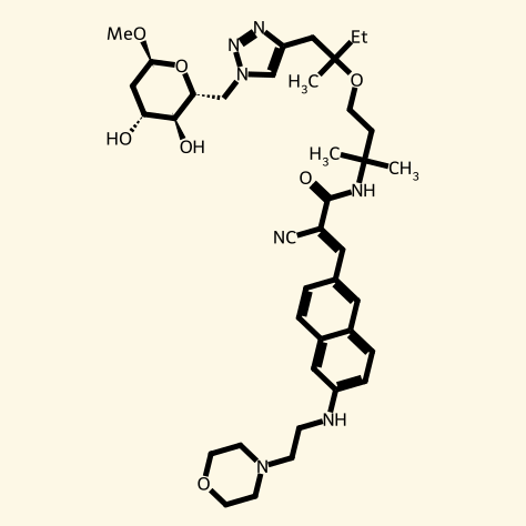 CCC(C)(Cc1cn(C[C@H]2O[C@H](OC)C[C@@H](O)[C@@H]2O)nn1)OCCC(C)(C)NC(=O)/C(C#N)=C/c1ccc2cc(NCCN3CCOCC3)ccc2c1